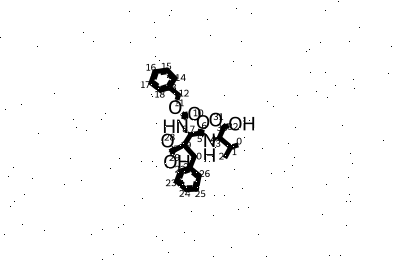 CC(C)[C@@H](NC(=O)[C@@H](NC(=O)OCc1ccccc1)C(Cc1ccccc1)C(=O)O)C(=O)O